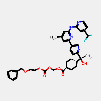 Cc1cc(Nc2cc(C(F)F)ccn2)nc(-c2ccc([C@](C)(O)[C@H]3CC[C@H](C(=O)OCOC(=O)OCCOCc4ccccc4)CC3)nc2)c1